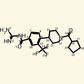 N=C(N)NC(=O)c1ccc(C2CCN(C(=O)C3CCCC3)CC2)c(C(F)(F)F)c1